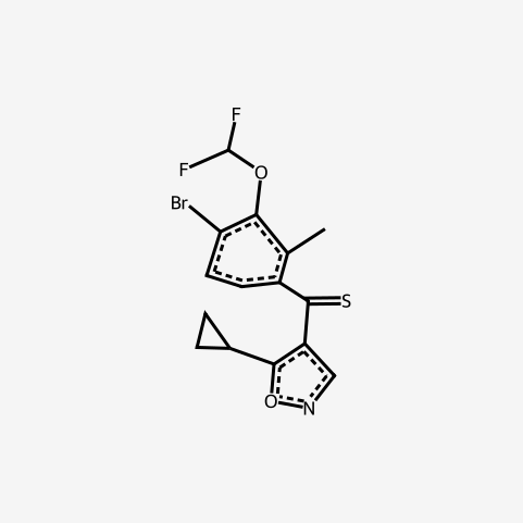 Cc1c(C(=S)c2cnoc2C2CC2)ccc(Br)c1OC(F)F